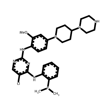 COc1cc(N2CCC(N3CCNCC3)CC2)ccc1Nc1ncc(Cl)c(Nc2ccccc2P(C)C)n1